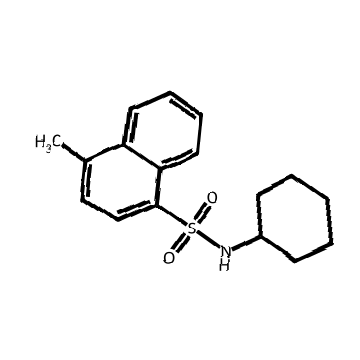 Cc1ccc(S(=O)(=O)NC2CCCCC2)c2ccccc12